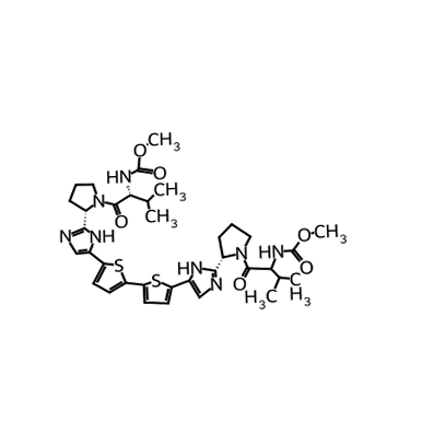 COC(=O)NC(C(=O)N1CCC[C@H]1c1ncc(-c2ccc(-c3ccc(-c4cnc([C@@H]5CCCN5C(=O)[C@H](NC(=O)OC)C(C)C)[nH]4)s3)s2)[nH]1)C(C)C